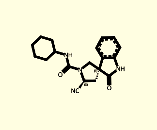 N#C[C@@H]1C[C@@]2(CN1C(=O)NC1CCCCC1)C(=O)Nc1ccccc12